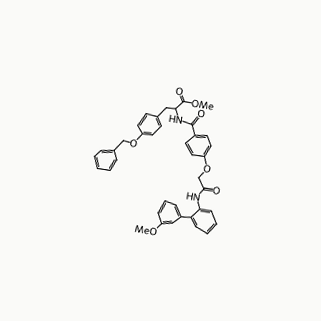 COC(=O)C(Cc1ccc(OCc2ccccc2)cc1)NC(=O)c1ccc(OCC(=O)Nc2ccccc2-c2cccc(OC)c2)cc1